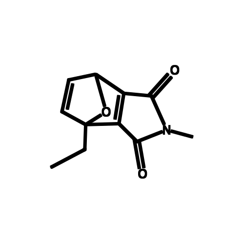 CCC12C=CC(O1)C1=C2C(=O)N(C)C1=O